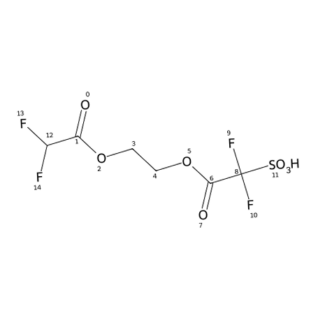 O=C(OCCOC(=O)C(F)(F)S(=O)(=O)O)C(F)F